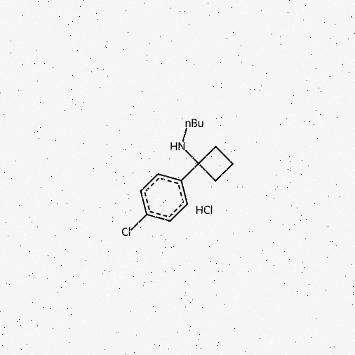 CCCCNC1(c2ccc(Cl)cc2)CCC1.Cl